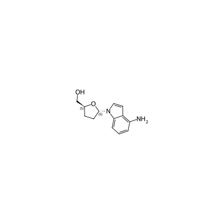 Nc1cccc2c1ccn2[C@@H]1CC[C@@H](CO)O1